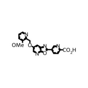 COc1cccnc1COc1cnc2oc(-c3ccc(C(=O)O)nc3)nc2c1